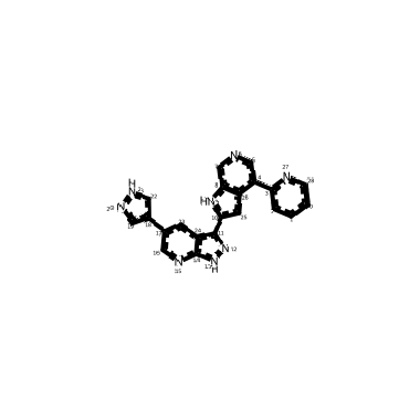 c1ccc(-c2cncc3[nH]c(-c4n[nH]c5ncc(-c6cn[nH]c6)cc45)cc23)nc1